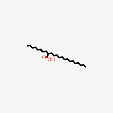 CCCCCC=CCC(CCCCCCCCCCCCCC)C(=O)O